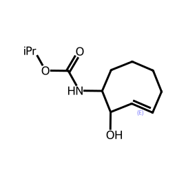 CC(C)OC(=O)NC1CCCC/C=C/C1O